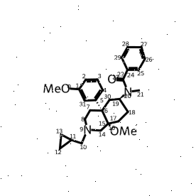 COc1cccc([C@@]23CCN(CC4CC4)C[C@@]2(OC)CC[C@H](N(C)C(=O)c2ccccc2)C3)c1